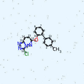 Cc1ccc(-c2ccccc2Oc2ccc3nnc(Cl)n3n2)cc1